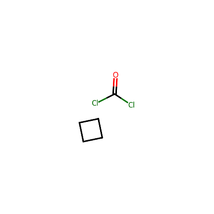 C1CCC1.O=C(Cl)Cl